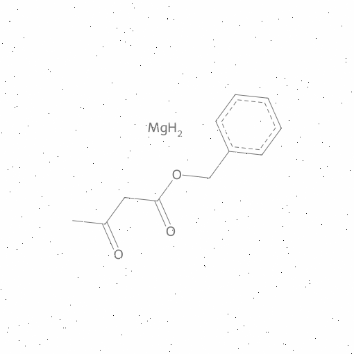 CC(=O)CC(=O)OCc1ccccc1.[MgH2]